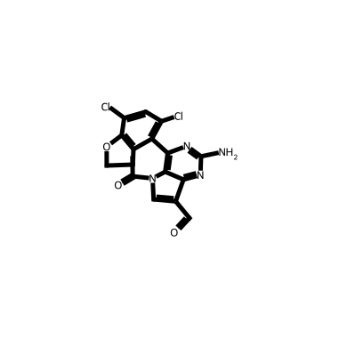 CC(=O)n1cc(C=O)c2nc(N)nc(-c3c(Cl)cc(Cl)c4c3CCO4)c21